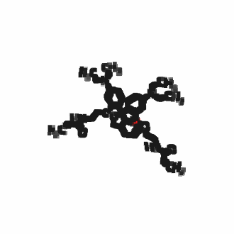 C=CC(=O)NCCOCc1cc(N(CC)CC)ccc1C1(c2ccc(N(CC)CC)cc2OCCNC(=O)C=C)OCc2cccnc21